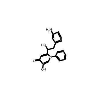 Nc1cccc(CC(O)c2cc(=O)c(O)cn2-c2ccccc2)c1